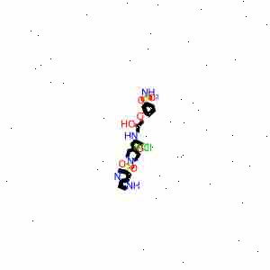 Cl.Cl.NS(=O)(=O)c1cccc(OCC(O)CNC2COC3(CCN(S(=O)(=O)c4cnc5cc[nH]c5c4)CC3)C2)c1